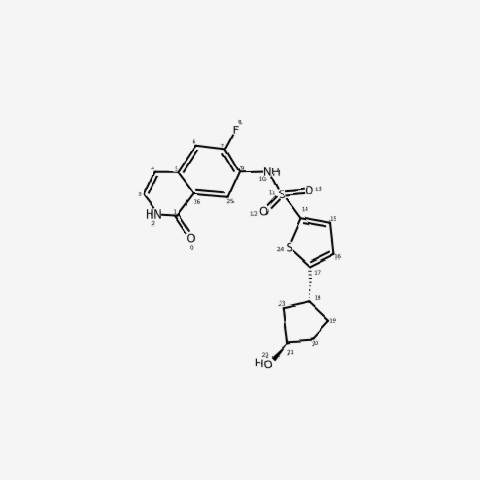 O=c1[nH]ccc2cc(F)c(NS(=O)(=O)c3ccc([C@@H]4CC[C@@H](O)C4)s3)cc12